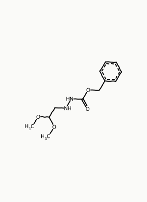 COC(CNNC(=O)OCc1ccccc1)OC